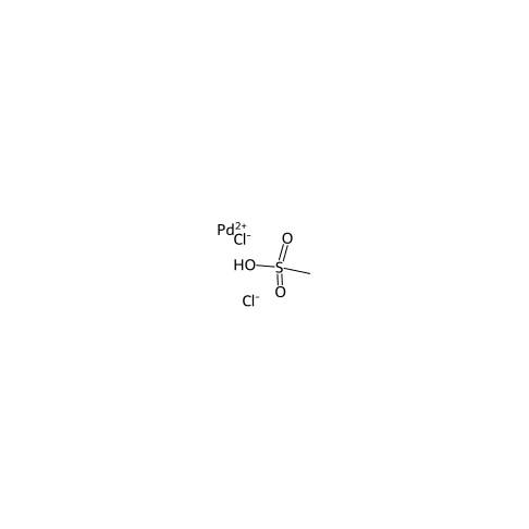 CS(=O)(=O)O.[Cl-].[Cl-].[Pd+2]